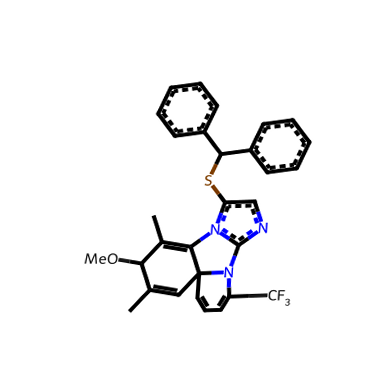 COC1C(C)=CC23C=CC=C(C(F)(F)F)N2c2ncc(SC(c4ccccc4)c4ccccc4)n2C3=C1C